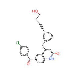 O=C(c1ccc(Cl)cc1)c1ccc2[nH]c(=O)cc(Cc3cccc(C#CCCO)c3)c2c1